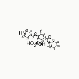 Cc1cc(C(=O)NC2CCCCC2)ccc1OCC1CCNCC1.O=C(O)O